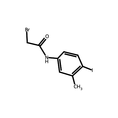 Cc1cc(NC(=O)CBr)ccc1I